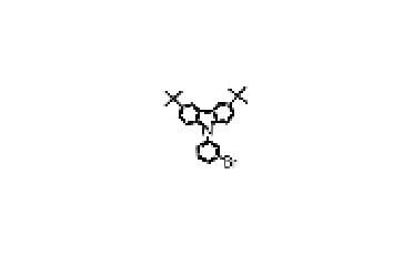 CC(C)(C)c1ccc2c(c1)c1cc(C(C)(C)C)ccc1n2-c1cccc(Br)c1